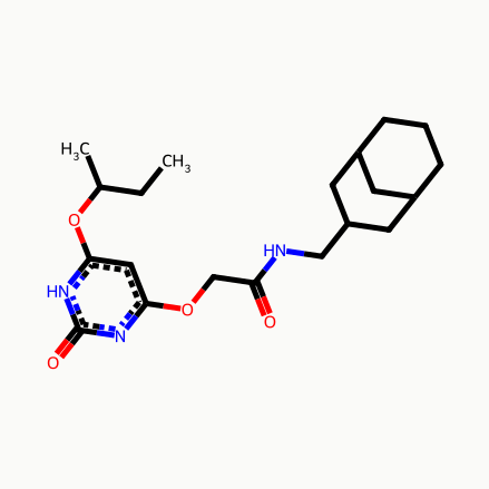 CCC(C)Oc1cc(OCC(=O)NCC2CC3CCCC(C3)C2)nc(=O)[nH]1